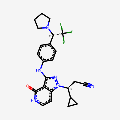 N#CC[C@@H](C1CC1)n1nc(Nc2ccc([C@H](N3CCCC3)C(F)(F)F)cc2)c2c(=O)[nH]ccc21